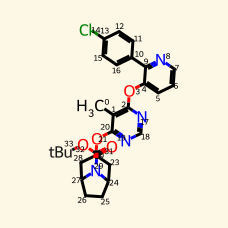 Cc1c(Oc2cccnc2-c2ccc(Cl)cc2)ncnc1OC1CC2CCC(C1)N2C(=O)OC(C)(C)C